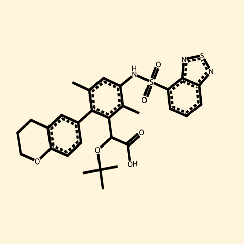 Cc1cc(NS(=O)(=O)c2cccc3nsnc23)c(C)c(C(OC(C)(C)C)C(=O)O)c1-c1ccc2c(c1)CCCO2